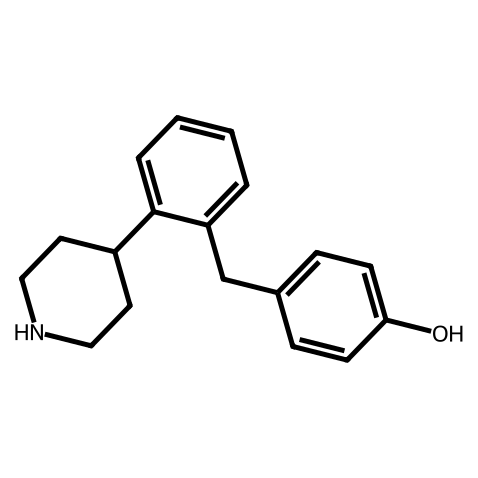 Oc1ccc(Cc2ccccc2C2CCNCC2)cc1